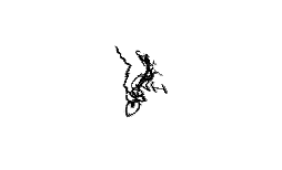 CCCCCCCCCCCCCCOc1c(OCC(=O)Nc2cccc(C[n+]3csc(C)c3)c2)cccc1C(C)=O.[Br-]